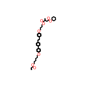 C=CC(=O)OCCCCCCOc1ccc(-c2ccc(/C=C/c3ccc(OCCCCOC(=O)C(=C)CC(=O)OC4CCCCC4)cc3)cc2)cc1